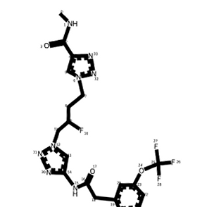 CNC(=O)c1cn(CCC(F)Cn2cc(NC(=O)Cc3cccc(OC(F)(F)F)c3)nn2)nn1